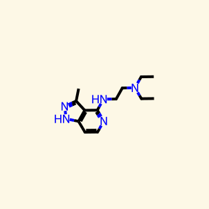 CCN(CC)CCNc1nccc2[nH]nc(C)c12